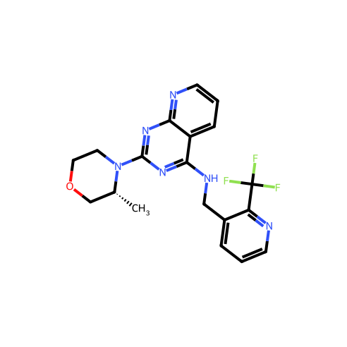 C[C@@H]1COCCN1c1nc(NCc2cccnc2C(F)(F)F)c2cccnc2n1